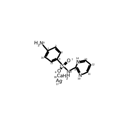 Nc1ccc(S(=O)(=O)Nc2ncccn2)cc1.[Ag].[CaH2]